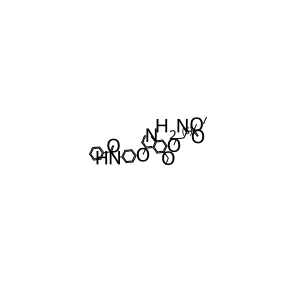 CCOC(=O)[C@@H](N)CCOc1cc2nccc(Oc3ccc(NC(=O)c4ccccc4)cc3)c2cc1OC